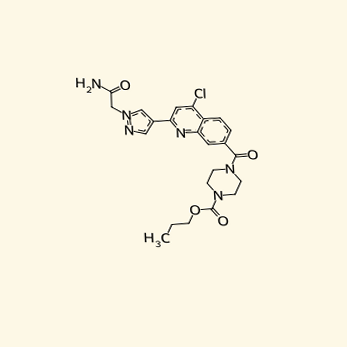 CCCOC(=O)N1CCN(C(=O)c2ccc3c(Cl)cc(-c4cnn(CC(N)=O)c4)nc3c2)CC1